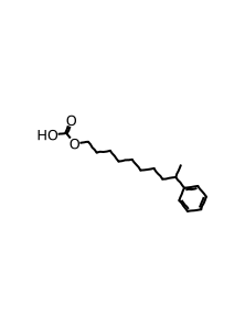 CC(CCCCCCCCOC(=O)O)c1ccccc1